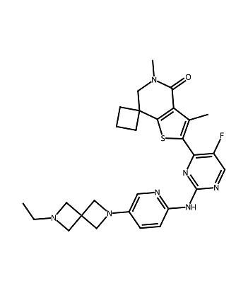 CCN1CC2(C1)CN(c1ccc(Nc3ncc(F)c(-c4sc5c(c4C)C(=O)N(C)CC54CCC4)n3)nc1)C2